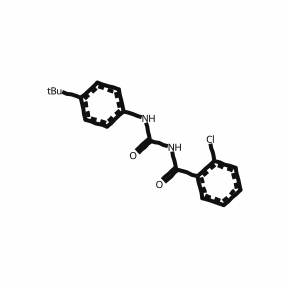 CC(C)(C)c1ccc(NC(=O)NC(=O)c2ccccc2Cl)cc1